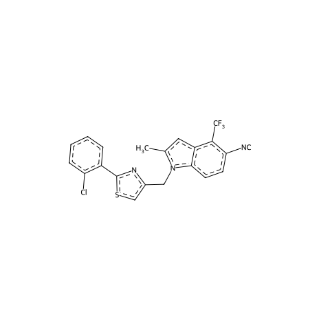 [C-]#[N+]c1ccc2c(cc(C)n2Cc2csc(-c3ccccc3Cl)n2)c1C(F)(F)F